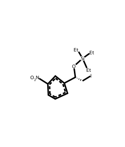 CC[Si](CC)(CC)O[C@H](CI)c1cccc([N+](=O)[O-])c1